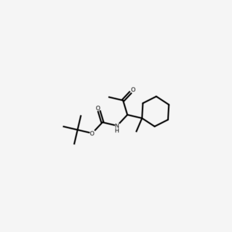 CC(=O)C(NC(=O)OC(C)(C)C)C1(C)CCCCC1